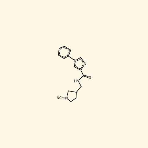 N#CN1CCC(CNC(=O)c2cn(-c3ccccc3)cn2)C1